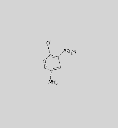 Nc1ccc(Cl)c(S(=O)(=O)O)c1